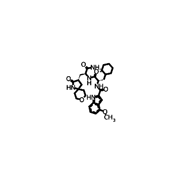 COc1cccc2[nH]c(C(=O)N[C@@H](CC3CCCCC3)C(=O)N[C@@H](C[C@@H]3CC4(CCOCC4)NC3=O)C(N)=O)cc12